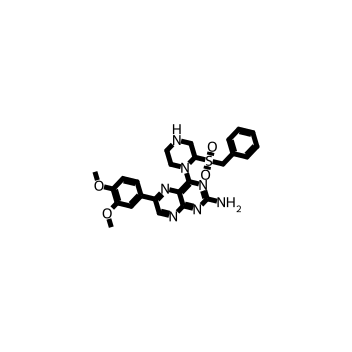 COc1ccc(-c2cnc3nc(N)nc(N4CCNCC4S(=O)(=O)Cc4ccccc4)c3n2)cc1OC